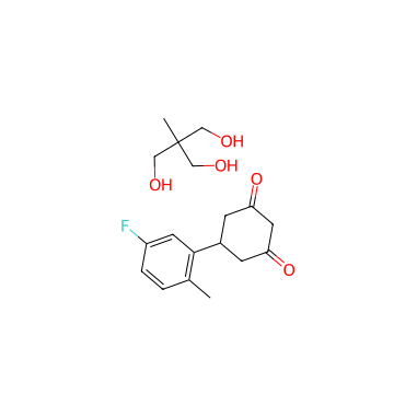 CC(CO)(CO)CO.Cc1ccc(F)cc1C1CC(=O)CC(=O)C1